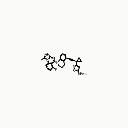 CCCCCc1cc(C2(C#Cc3cccc4c3CCCN4c3nc4nnc(C)n4c4cccc(F)c34)CC2)no1